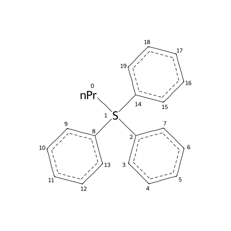 [CH2]CCS(c1ccccc1)(c1ccccc1)c1ccccc1